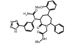 COc1ccccc1C1CC(c2ccccc2)N(CC(=O)NC(C)(C)C)C(=O)C(N(C(N)=O)c2cccc(-c3nnn[nH]3)c2)C1